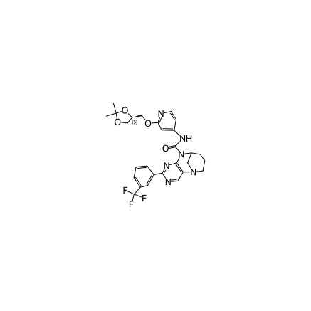 CC1(C)OC[C@H](COc2cc(NC(=O)N3c4nc(-c5cccc(C(F)(F)F)c5)ncc4N4CCCC3C4)ccn2)O1